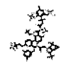 Cc1cc(CP(=O)(O)O)c(C(C)(C)CC(=O)N(c2nn(CC(F)(F)F)c3c(-c4ccc(CCC(C)(C)S(C)(=O)=O)nc4[C@H](Cc4cc(F)cc(F)c4)NC(=O)Cn4nc(C(F)(F)F)c5c4C(F)(F)C4CC54)ccc(Cl)c23)S(C)(=O)=O)c(OP(=O)(O)O)c1